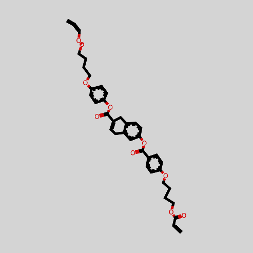 C=C=COOCCCCOc1ccc(OC(=O)C2=CCc3cc(OC(=O)c4ccc(OCCCCOC(=O)C=C)cc4)ccc3C2)cc1